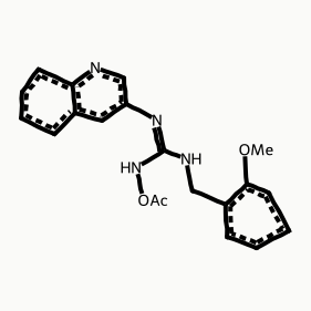 COc1ccccc1CNC(=Nc1cnc2ccccc2c1)NOC(C)=O